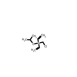 C=C[Si](C=C)(CCl)OC(C)C